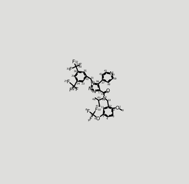 COc1ccc(OC(F)(F)F)cc1CN(C(=O)c1nnn(Cc2cc(C(F)(F)F)cc(C(F)(F)F)c2)c1-c1ccncc1)C(C)C